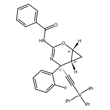 CC(C)[Si](C#C[C@]1(c2ccccc2F)N=C(NC(=O)c2ccccc2)O[C@@H]2C[C@@H]21)(C(C)C)C(C)C